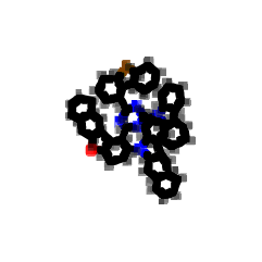 c1ccc2cc3c(cc2c1)oc1ccc(-n2c4ccccc4c4cc5ccccc5cc42)c(-c2nc(-c4cccc5sc6ccccc6c45)nc(-n4c5ccccc5c5ccccc54)n2)c13